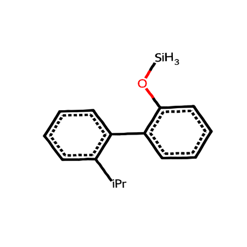 CC(C)c1ccccc1-c1ccccc1O[SiH3]